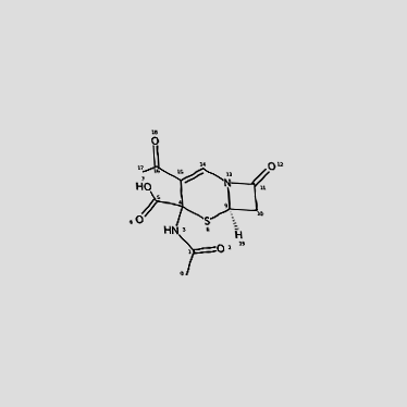 CC(=O)NC1(C(=O)O)S[C@@H]2CC(=O)N2C=C1C(C)=O